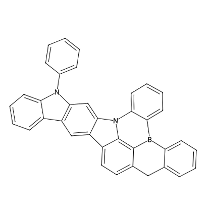 c1ccc(-n2c3ccccc3c3cc4c5ccc6c7c5n(c4cc32)-c2ccccc2B7c2ccccc2C6)cc1